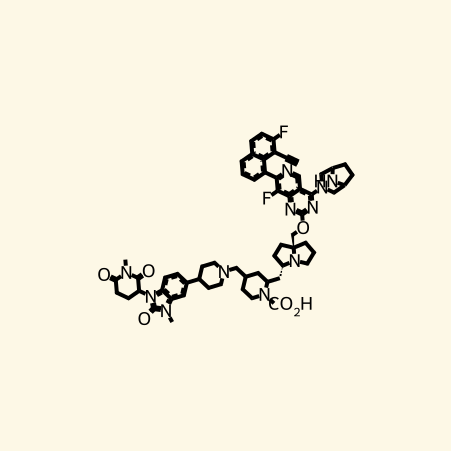 C#Cc1c(F)ccc2cccc(-c3ncc4c(N5CC6CCC(C5)N6)nc(OC[C@@]56CCCN5[C@H](CC5CC(CN7CCC(c8ccc9c(c8)n(C)c(=O)n9C8CCC(=O)N(C)C8=O)CC7)CCN5C(=O)O)CC6)nc4c3F)c12